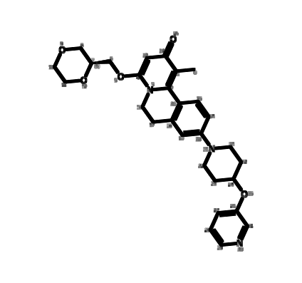 Cc1c2n(c(OC[C@@H]3COCCO3)cc1=O)CCc1cc(N3CCC(Oc4cccnc4)CC3)ccc1-2